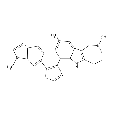 Cc1cc(-c2ccsc2-c2ccc3ccn(C)c3c2)c2[nH]c3c(c2c1)CN(C)CCC3